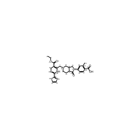 CCOC(=O)C1=C(CN2CCC3C(=O)N(c4ccc(C(=O)O)c(C)c4)CC3C2)NC(c2nccs2)=NC1